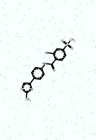 Cc1nc(-c2ccc(NC(=O)c3ccc(S(C)(=O)=O)cc3Cl)cc2)co1